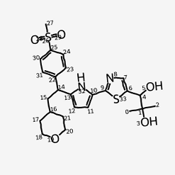 CC(C)(O)C(O)c1cnc(-c2ccc(C(CC3CCOCC3)c3ccc(S(C)(=O)=O)cc3)[nH]2)s1